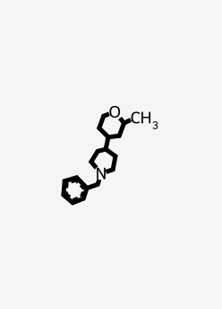 CC1CC(C2CCN(Cc3ccccc3)CC2)CCO1